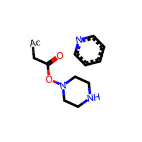 CC(=O)CC(=O)ON1CCNCC1.c1ccncc1